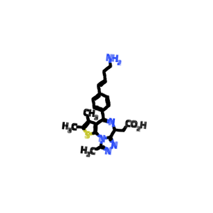 Cc1sc2c(c1C)C(c1ccc(/C=C/CCN)cc1)=NC(CC(=O)O)c1nnc(C)n1-2